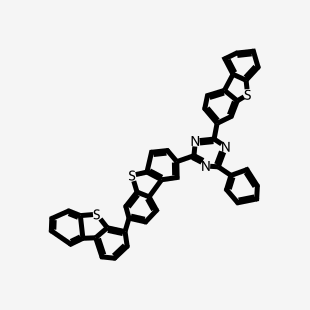 c1ccc(-c2nc(-c3ccc4c(c3)sc3ccccc34)nc(-c3ccc4sc5cc(-c6cccc7c6sc6ccccc67)ccc5c4c3)n2)cc1